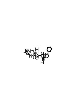 Cc1cc2n(n1)CC[C@H](NC(=O)C1=NN3[C@@H](CC[C@H]3c3ccccc3)N1)C(=O)N2C